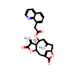 C=C1C(=O)OC2CC3=C[C@@H](C/C(C)=C/C(OC(=O)Cc4cccc5cccnc45)[C@H]12)OC3=O